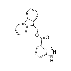 O=C(OCC1c2ccccc2-c2ccccc21)c1cccc2[nH]nnc12